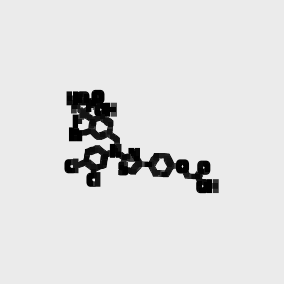 O=C(O)COc1ccc(-c2csc(N(Cc3ccc(C(F)(F)P(=O)(O)O)c(Br)c3)c3ccc(Cl)c(Cl)c3)n2)cc1